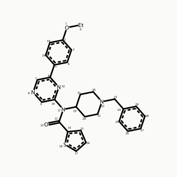 CCOc1ccc(-c2cncc(N(C(=O)c3cccs3)C3CCN(Cc4ccccc4)CC3)n2)cc1